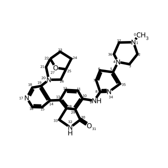 CN1CCN(c2ccc(Nc3ccc(-c4ccncc4N4CC5CCC(C4)O5)c4c3C(=O)NC4)nc2)CC1